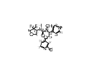 CN(C(=O)NC1COCC1(F)F)C(COc1cccc(Cl)c1)c1ccncc1